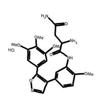 COc1ccc(-c2cnoc2-c2cc(OC)c(OC)c(OC)c2)cc1NC(=O)C(N)CC(N)=O.Cl